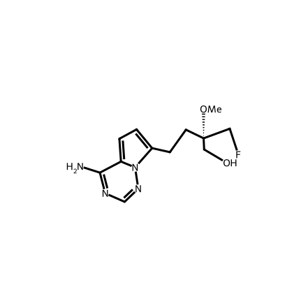 CO[C@@](CO)(CF)CCc1ccc2c(N)ncnn12